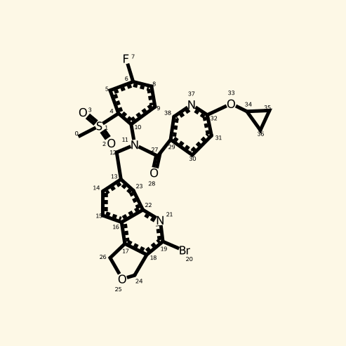 CS(=O)(=O)c1cc(F)ccc1N(Cc1ccc2c3c(c(Br)nc2c1)COC3)C(=O)c1ccc(OC2CC2)nc1